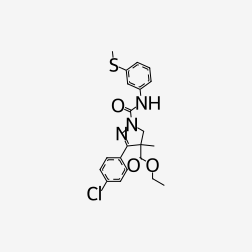 CCOC(=O)C1(C)CN(C(=O)Nc2cccc(SC)c2)N=C1c1ccc(Cl)cc1